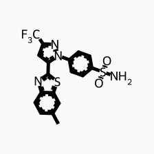 Cc1ccc2nc(-c3cc(C(F)(F)F)nn3-c3ccc(S(N)(=O)=O)cc3)sc2c1